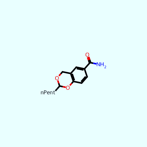 CCCCCC1OCc2cc(C(N)=O)ccc2O1